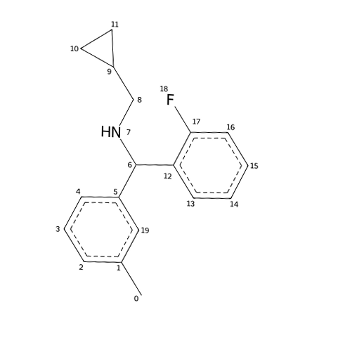 Cc1cccc(C(NCC2CC2)c2ccccc2F)c1